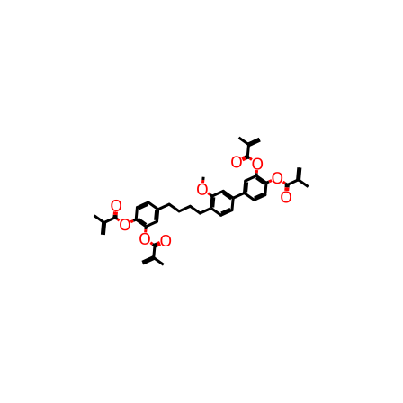 C=C(C)C(=O)Oc1ccc(CCCCc2ccc(-c3ccc(OC(=O)C(=C)C)c(OC(=O)C(=C)C)c3)cc2OC)cc1OC(=O)C(=C)C